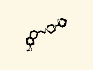 COc1ccc2c(c1)CC(CCN1CCN(c3ccccn3)CC1)CC2